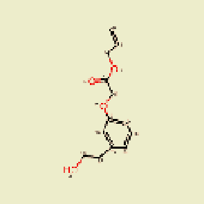 C=CCOC(=O)COc1cccc(CCO)c1